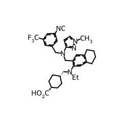 [C-]#[N+]c1cc(CN(Cc2cc3c(cc2N(CC)C[C@H]2CC[C@H](C(=O)O)CC2)CCCC3)c2ccn(C)n2)cc(C(F)(F)F)c1